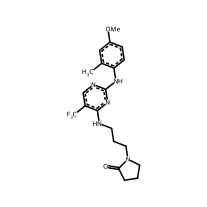 COc1ccc(Nc2ncc(C(F)(F)F)c(NCCCN3CCCC3=O)n2)c(C)c1